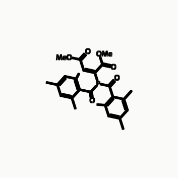 COC(=O)C=C(C(=O)OC)P(C(=O)c1c(C)cc(C)cc1C)C(=O)c1c(C)cc(C)cc1C